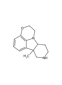 CC12CNCCC1N1CCOc3cccc2c31